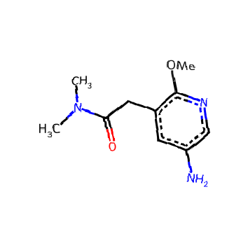 COc1ncc(N)cc1CC(=O)N(C)C